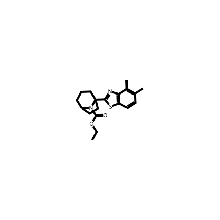 CCOC(=O)N1C2CCCC1(c1nc3c(C)c(C)ccc3s1)CC2